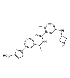 Cc1ccc(NC2CNC2)cc1C(=O)NC(C)c1cccc(-c2ccc(C(=O)O)s2)c1